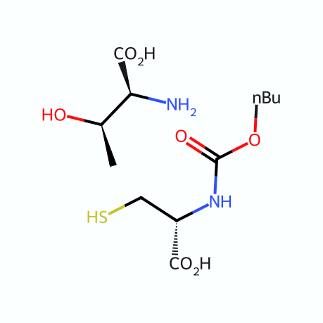 CCCCOC(=O)N[C@@H](CS)C(=O)O.C[C@@H](O)[C@H](N)C(=O)O